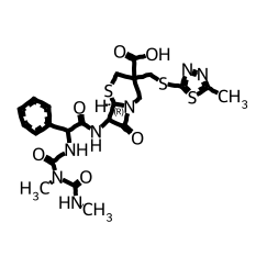 CNC(=O)N(C)C(=O)NC(C(=O)NC1C(=O)N2CC(CSc3nnc(C)s3)(C(=O)O)CS[C@H]12)c1ccccc1